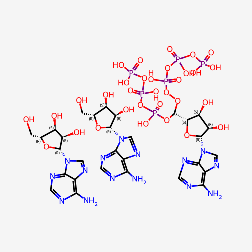 Nc1ncnc2c1ncn2[C@@H]1O[C@H](C(OOP(=O)(O)OP(=O)(O)OP(=O)(O)O)OP(=O)(O)OP(=O)(O)OP(=O)(O)O)[C@@H](O)[C@H]1O.Nc1ncnc2c1ncn2[C@@H]1O[C@H](CO)[C@@H](O)[C@H]1O.Nc1ncnc2c1ncn2[C@@H]1O[C@H](CO)[C@@H](O)[C@H]1O